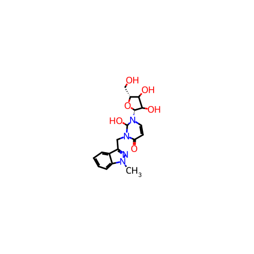 Cn1nc(CN2C(=O)C=CN([C@@H]3O[C@H](CO)C(O)C3O)C2O)c2ccccc21